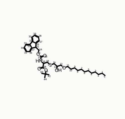 CCCCCCCCCCCCOCC(O)CSCC(NC(=O)OCC1c2ccccc2-c2ccccc21)C(=O)OC(C)(C)C